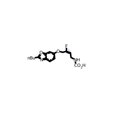 CCCCc1nc2ccc(OC/C(F)=C\CNC(=O)O)cc2o1